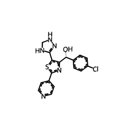 O[C@H](c1ccc(Cl)cc1)c1nc(-c2ccncc2)sc1C1=NNCN1